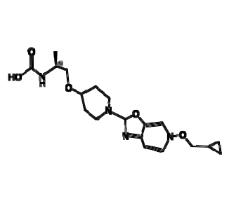 C[C@@H](COC1CCN(C2N=C3C=CN(OCC4CC4)C=C3O2)CC1)NC(=O)O